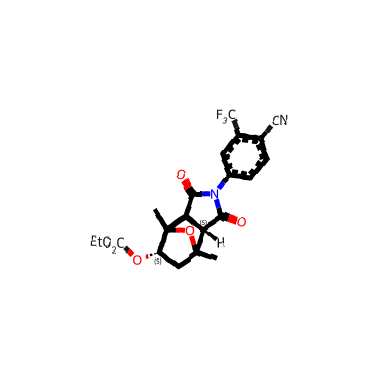 CCOC(=O)O[C@H]1CC2(C)OC1(C)C1C(=O)N(c3ccc(C#N)c(C(F)(F)F)c3)C(=O)[C@@H]12